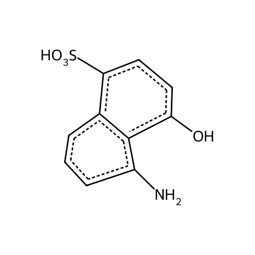 Nc1cccc2c(S(=O)(=O)O)ccc(O)c12